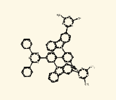 Cc1nc(C)nc(-c2ccc3c(c2)c2ccccc2n3-c2ccc(C#N)cc2-c2ccc(-c3nc(-c4ccccc4)nc(-c4ccccc4)n3)cc2-n2c3ccccc3c3cc(-c4nc(C)nc(C)n4)ccc32)n1